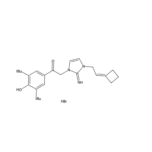 Br.CC(C)(C)c1cc(C(=O)Cn2ccn(CC=C3CCC3)c2=N)cc(C(C)(C)C)c1O